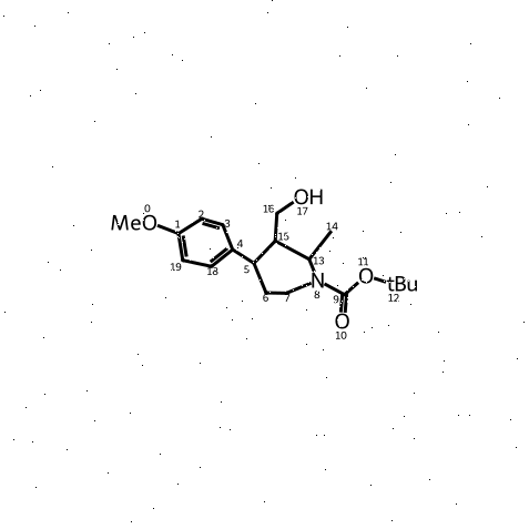 COc1ccc(C2CCN(C(=O)OC(C)(C)C)C(C)C2CO)cc1